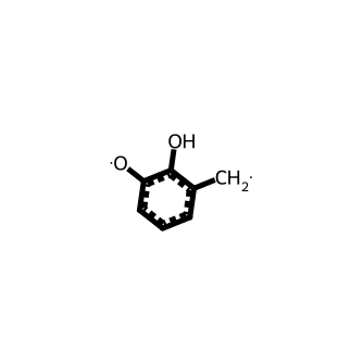 [CH2]c1cccc([O])c1O